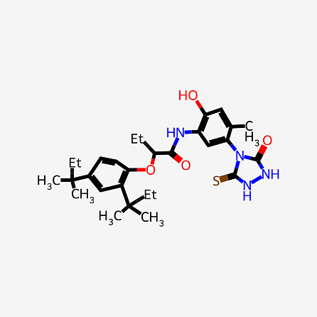 CCC(Oc1ccc(C(C)(C)CC)cc1C(C)(C)CC)C(=O)Nc1cc(-n2c(=O)[nH][nH]c2=S)c(C)cc1O